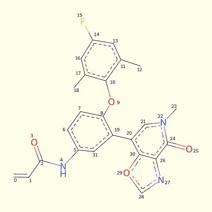 C=CC(=O)Nc1ccc(Oc2c(C)cc(F)cc2C)c(-c2cn(C)c(=O)c3ncoc23)c1